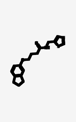 O=C(CCCOc1ccc2c(c1)CCC2)NCc1cncs1